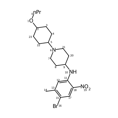 CCCOC1CCC(N2CCC(Nc3cc(C)c(Br)cc3[N+](=O)[O-])CC2)CC1